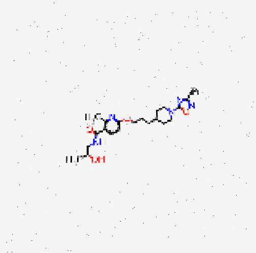 Cc1nc(OCCCC2CCN(c3nc(C(C)C)no3)CC2)ccc1C(=O)NCC(C)O